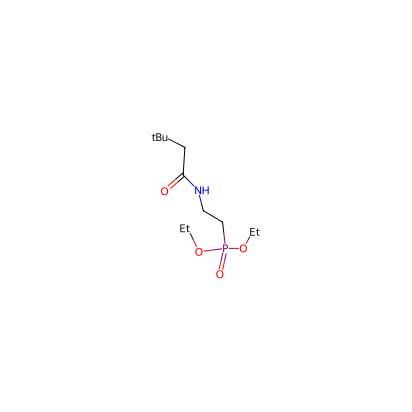 CCOP(=O)(CCNC(=O)CC(C)(C)C)OCC